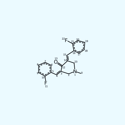 CN1C/C(=C/c2ccccc2F)C(=O)/C(=C/c2ccccc2F)C1